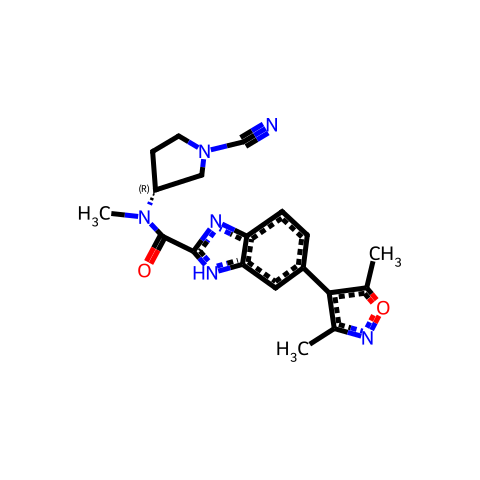 Cc1noc(C)c1-c1ccc2nc(C(=O)N(C)[C@@H]3CCN(C#N)C3)[nH]c2c1